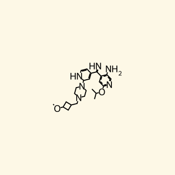 COC1CC(CN2CCN(C3C=C(C(=N)c4cc(OC(C)C)ncc4N)C=CN3)CC2)C1